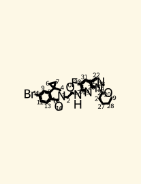 O=C(CN1CC2(CC2)c2cc(Br)ccc2C1=O)Nc1nc2c(cnn2C2CCCCO2)cc1F